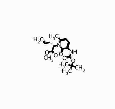 C=CC[C@@H](C(=O)OC)n1c(C)ccc(NC(=O)OC(C)(C)C)c1=O